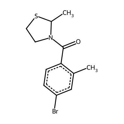 Cc1cc(Br)ccc1C(=O)N1CCSC1C